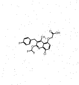 Cc1c(Cc2ccc(F)cc2)c(OC(F)F)nc2c(Cl)ccc(OCC(=O)O)c12